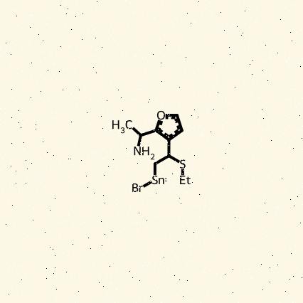 CCSC([CH2][Sn][Br])c1ccoc1C(C)N